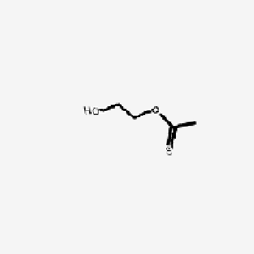 CC(=S)OCCO